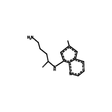 Cc1cc(NC(C)CCCN)c2ncccc2c1